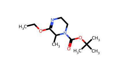 CCOC1=NCCN(C(=O)OC(C)(C)C)C1C